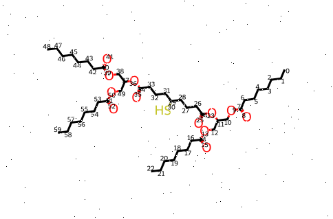 CCCCCCCC(=O)OCC(COC(=O)CCCCCCC)OC(=O)CCCC(S)CCCC(=O)OC(COC(=O)CCCCCCC)COC(=O)CCCCCCC